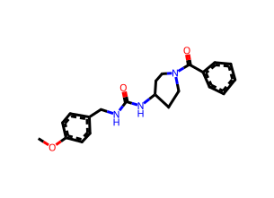 COc1ccc(CNC(=O)NC2CCN(C(=O)c3ccccc3)CC2)cc1